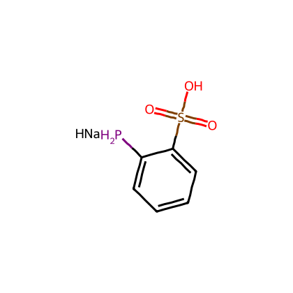 O=S(=O)(O)c1ccccc1P.[NaH]